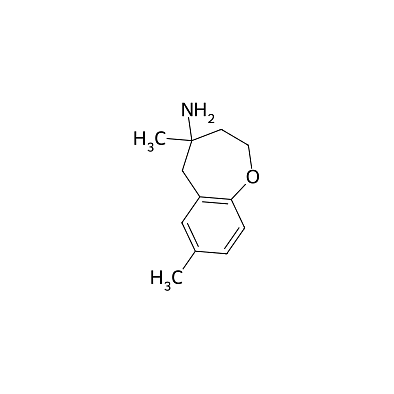 Cc1ccc2c(c1)CC(C)(N)CCO2